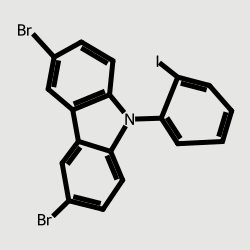 Brc1ccc2c(c1)c1cc(Br)ccc1n2-c1ccccc1I